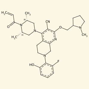 C=CC(=O)N1[C@H](C)CN(c2c(C#N)c(OCC3CCCN3C)nc3c2CCN(c2c(O)cccc2F)C3)C[C@@H]1C